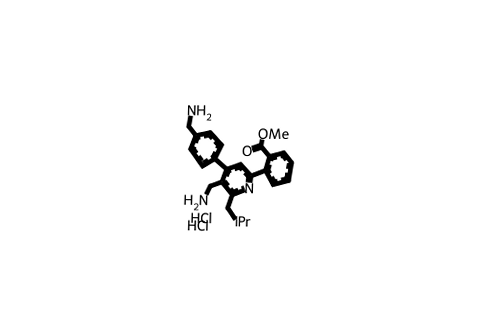 COC(=O)c1ccccc1-c1cc(-c2ccc(CN)cc2)c(CN)c(CC(C)C)n1.Cl.Cl